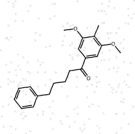 COc1cc(C(=O)CCCCc2ccccc2)cc(OC)c1C